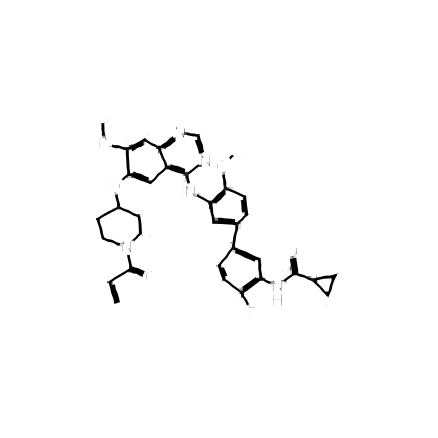 C=CC(=O)N1CCC(Oc2cc3c(Nc4cc(-c5ccc(F)c(NC(=O)C6CC6)c5)ccc4OC)ncnc3cc2OC)CC1